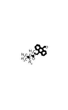 CN(Cc1c2ccccc2c(C=O)c2ccccc12)C(=O)OC(C)(C)C